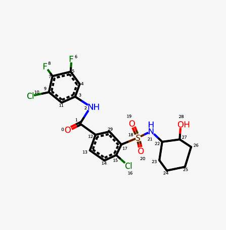 O=C(Nc1cc(F)c(F)c(Cl)c1)c1ccc(Cl)c(S(=O)(=O)NC2CCCCC2O)c1